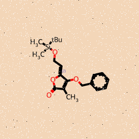 CC1=C(OCc2ccccc2)/C(=C/CO[Si](C)(C)C(C)(C)C)OC1=O